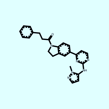 Cn1nccc1Nc1nccc(-c2ccc3c(c2)CCN3C(=O)CCc2ccccc2)n1